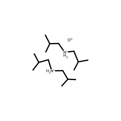 CC(C)C[NH2+]CC(C)C.CC(C)C[NH2+]CC(C)C.[O-2]